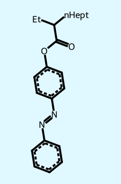 CCCCCCCC(CC)C(=O)Oc1ccc(N=Nc2ccccc2)cc1